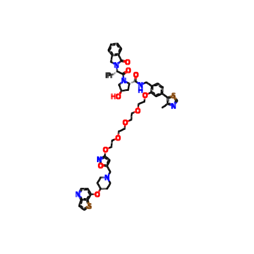 Cc1ncsc1-c1ccc(CNC(=O)[C@@H]2C[C@@H](O)CN2C(=O)[C@H](C(C)C)N2Cc3ccccc3C2=O)c(OCCOCCOCCOCCOc2cc(CN3CCC(Oc4ccnc5ccsc45)CC3)on2)c1